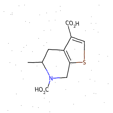 CC1Cc2c(C(=O)O)csc2CN1C(=O)O